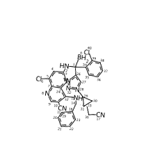 BC(Nc1cc(Cl)c2ncc(C#N)c(N[C@H](CCC#N)c3ccccc3)c2c1)(c1cn(C2CC2)nn1)c1ccccc1Cl